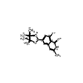 Cc1cc2cc(B3OC(C)(C)C(C)(C)O3)cc(F)c2c(=O)[nH]1